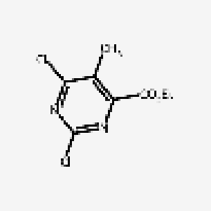 CCOC(=O)c1nc(Cl)nc(Cl)c1C